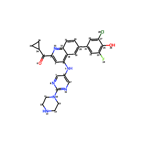 O=C(c1cc(Nc2cnc(N3CCNCC3)nc2)c2cc(-c3cc(F)c(O)c(Cl)c3)ccc2n1)C1CC1